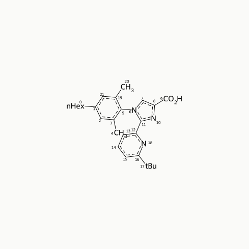 CCCCCCc1cc(C)c(-n2cc(C(=O)O)nc2-c2cccc(C(C)(C)C)n2)c(C)c1